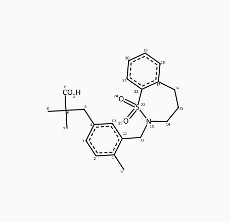 Cc1ccc(CC(C)(C)C(=O)O)cc1CN1CCCc2ccccc2S1(=O)=O